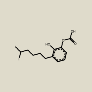 O=C(O)Oc1cccc(CCCCC(I)I)c1O